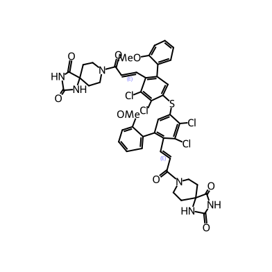 COc1ccccc1-c1cc(Sc2cc(-c3ccccc3OC)c(/C=C/C(=O)N3CCC4(CC3)NC(=O)NC4=O)c(Cl)c2Cl)c(Cl)c(Cl)c1/C=C/C(=O)N1CCC2(CC1)NC(=O)NC2=O